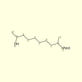 CCCCCC(C)CCCCCCC(C)O